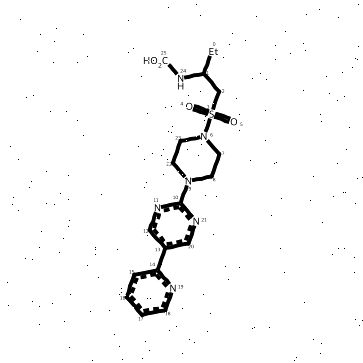 CCC(CS(=O)(=O)N1CCN(c2ncc(-c3ccccn3)cn2)CC1)NC(=O)O